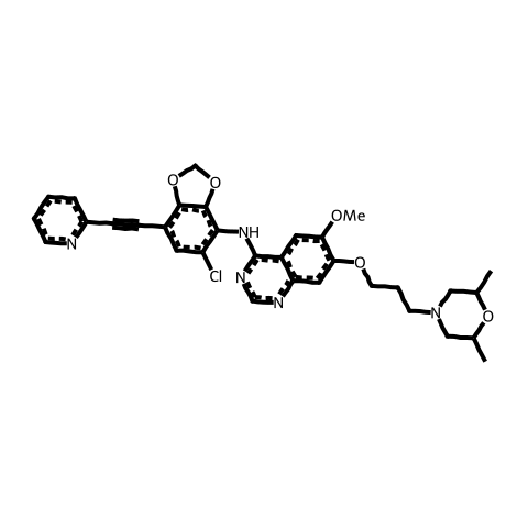 COc1cc2c(Nc3c(Cl)cc(C#Cc4ccccn4)c4c3OCO4)ncnc2cc1OCCCN1CC(C)OC(C)C1